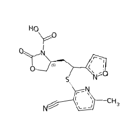 Cc1ccc(C#N)c(SC(C[C@H]2COC(=O)N2C(=O)O)c2ccon2)n1